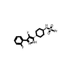 CC(C)S(=O)(=O)N[C@H]1CC[C@H](c2[nH]nc(-c3ccccc3F)c2F)CC1